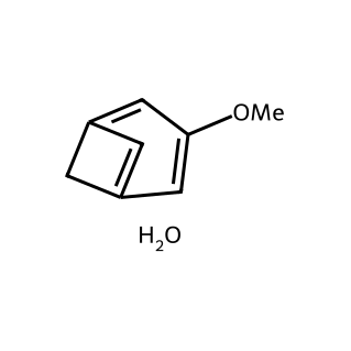 COc1cc2cc(c1)C2.O